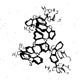 CC(C)(C)c1ccc2c(c1)N(c1cccc3sc4ccccc4c13)c1cc(N3c4ccc(C(C)(C)C)cc4C4(C)CCCCC34C)cc3c1B2c1ccc(N2c4ccc(C(C)(C)C)cc4C4(C)CCCCC24C)cc1N3c1cccc2oc3ccccc3c12